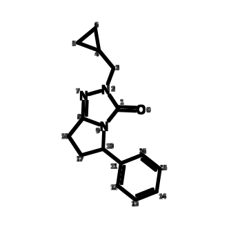 O=c1n(CC2CC2)nc2n1C(c1ccccc1)CC2